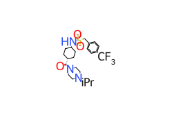 CC(C)N1CCN(C(=O)[C@H]2CC[C@@H](NS(=O)(=O)Cc3ccc(C(F)(F)F)cc3)CC2)CC1